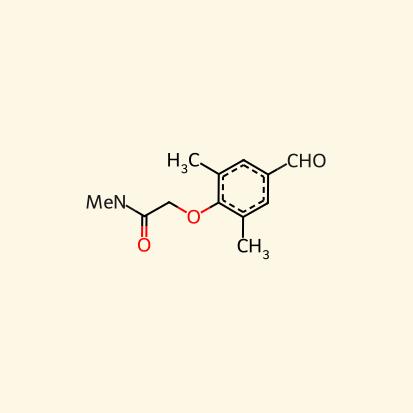 CNC(=O)COc1c(C)cc(C=O)cc1C